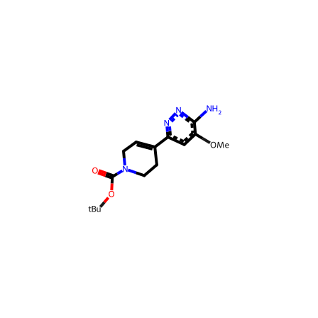 COc1cc(C2=CCN(C(=O)OC(C)(C)C)CC2)nnc1N